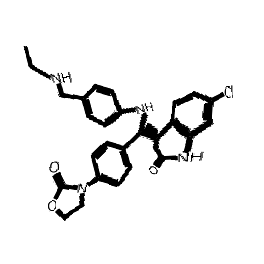 CCNCc1ccc(NC(=C2C(=O)Nc3cc(Cl)ccc32)c2ccc(N3CCOC3=O)cc2)cc1